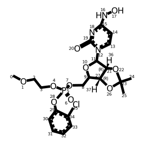 COCCOP(=O)(OCC1OC(n2ccc(NO)nc2=O)[C@@H]2OC(C)(C)O[C@H]12)Oc1ccccc1Cl